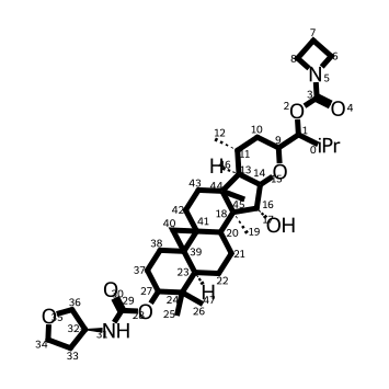 CC(C)C(OC(=O)N1CCC1)C1C[C@@H](C)[C@H]2C(O1)[C@H](O)[C@@]1(C)C3CC[C@H]4C(C)(C)C(OC(=O)N[C@H]5CCOC5)CCC45CC35CCC21C